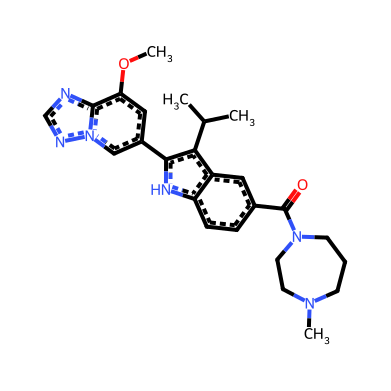 COc1cc(-c2[nH]c3ccc(C(=O)N4CCCN(C)CC4)cc3c2C(C)C)cn2ncnc12